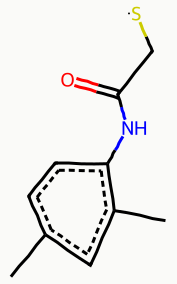 Cc1ccc(NC(=O)C[S])c(C)c1